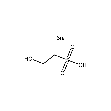 O=S(=O)(O)CCO.[Sn]